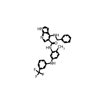 Cc1ccc(Nc2cccc(C(F)(F)F)c2)cc1NC(=O)c1cnc2[nH]ccc2c1NCc1ccccc1